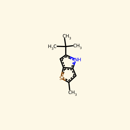 Cc1cc2[nH]c(C(C)(C)C)cc2s1